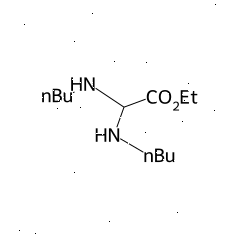 CCCCNC(NCCCC)C(=O)OCC